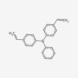 C=Cc1ccc([Si](c2ccccc2)c2ccc(C=C)cc2)cc1